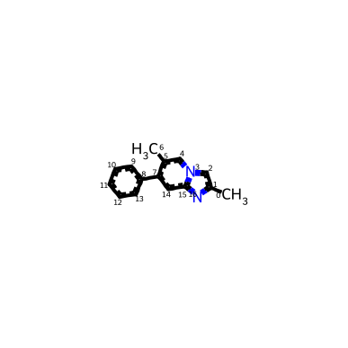 Cc1cn2cc(C)c(-c3ccccc3)cc2n1